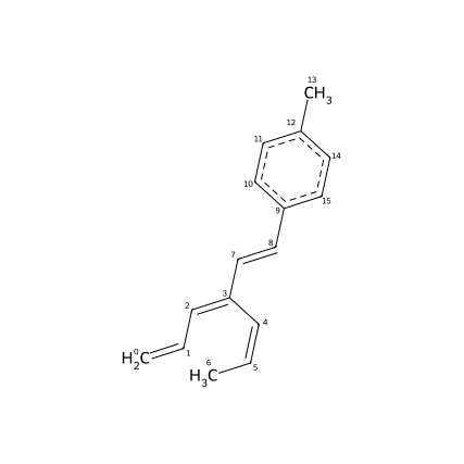 C=C/C=C(\C=C/C)/C=C/c1ccc(C)cc1